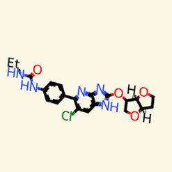 CCNC(=O)Nc1ccc(-c2nc3nc(OC4CO[C@@H]5CCO[C@H]45)[nH]c3cc2Cl)cc1